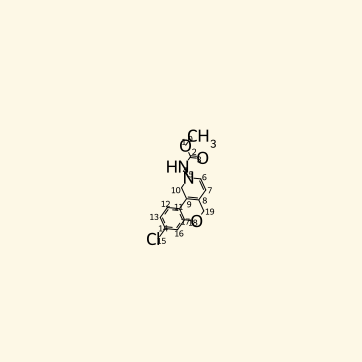 COC(=O)NN1C=CC2=C(C1)c1ccc(Cl)cc1OC2